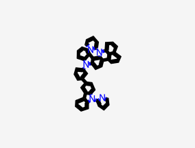 c1ccc(N2c3cccc4cccc(c34)-c3ccc4c(c32)c2ccccc2n4-c2cccc(-c3ccc4c(c3)c3ccccc3n4-c3ccccn3)c2)nc1